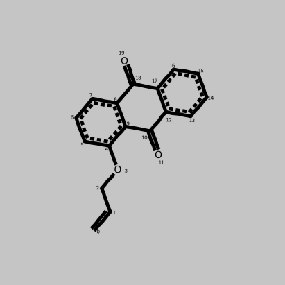 C=CCOc1cccc2c1C(=O)c1ccccc1C2=O